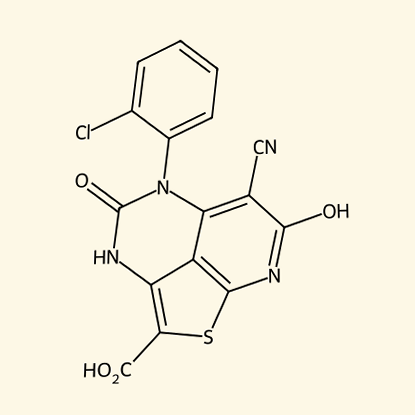 N#Cc1c(O)nc2sc(C(=O)O)c3c2c1N(c1ccccc1Cl)C(=O)N3